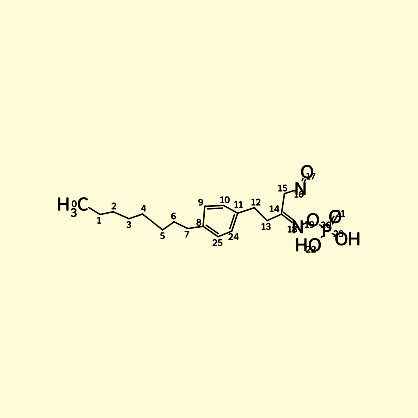 CCCCCCCCc1ccc(CC/C(CN=O)=N/OP(=O)(O)O)cc1